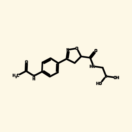 CC(=O)Nc1ccc(C2=NOC(C(=O)NCB(O)O)C2)cc1